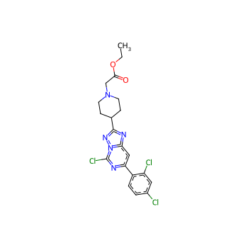 CCOC(=O)CN1CCC(c2nc3cc(-c4ccc(Cl)cc4Cl)nc(Cl)n3n2)CC1